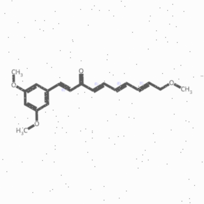 COC/C=C/C=C/C=C/C(=O)/C=C/c1cc(OC)cc(OC)c1